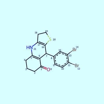 O=C1CCCC2=C1C(c1ccc(Br)c(Br)c1)C1=C(CCS1)N2